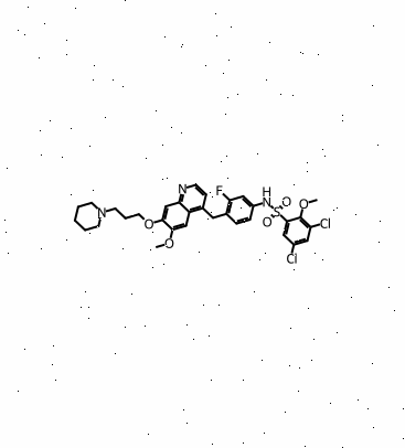 COc1cc2c(Cc3ccc(NS(=O)(=O)c4cc(Cl)cc(Cl)c4OC)cc3F)ccnc2cc1OCCCN1CCCCC1